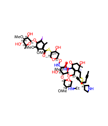 CC#C/C=C\C#C[C@H](O[C@@H]1O[C@H](C)[C@@H](NO[C@H]2C[C@H](O)[C@H](SC(=O)c3c(C)c(I)c(O[C@@H]4O[C@@H](C)[C@H](O)[C@@H](OC)[C@H]4O)c(OC)c3OC)[C@@H](C)O2)[C@@H](O)[C@H]1O[C@H]1C[C@H](OC)[C@@H](NCC)CO1)C1=C(NC(=O)OC)C(=O)C[C@](C)(O)/C1=C/CSS[C@@H]1CCNC1